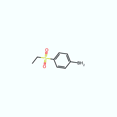 Bc1ccc(S(=O)(=O)CC)cc1